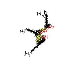 CCCCCCCCCc1ccc(O)c(SSSSc2cc(CCCCCCCCC)cc(SSSSc3cc(CCCCCCCCC)ccc3O)c2O)c1